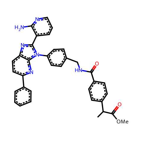 COC(=O)C(C)c1ccc(C(=O)NCc2ccc(-n3c(-c4cccnc4N)nc4ccc(-c5ccccc5)nc43)cc2)cc1